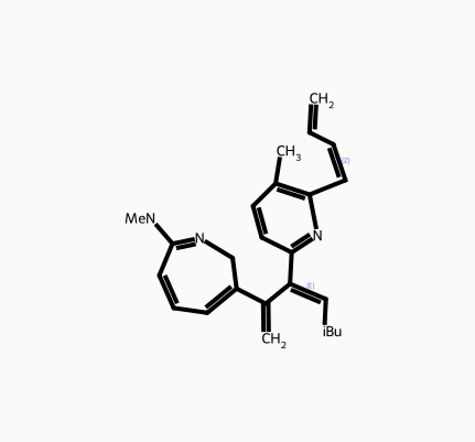 C=C/C=C\c1nc(/C(=C/C(C)CC)C(=C)C2=CC=CC(NC)=NC2)ccc1C